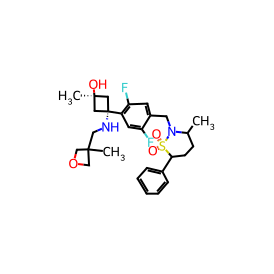 CC1CCC(c2ccccc2)S(=O)(=O)N1Cc1cc(F)c([C@]2(NCC3(C)COC3)C[C@](C)(O)C2)cc1F